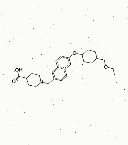 CCOCC1CCC(Oc2ccc3cc(CN4CCC(C(=O)O)CC4)ccc3c2)CC1